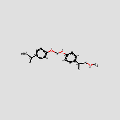 CCCCC(C)c1ccc(OCOc2ccc(C(C)COCC)cc2)cc1